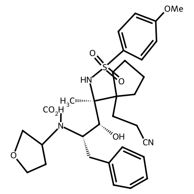 COc1ccc(S(=O)(=O)N[C@](C)([C@H](O)[C@H](Cc2ccccc2)N(C(=O)O)C2CCOC2)C2(CCC#N)CCCC2)cc1